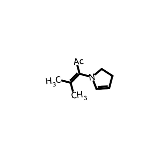 CC(=O)C(=C(C)C)N1C=CCC1